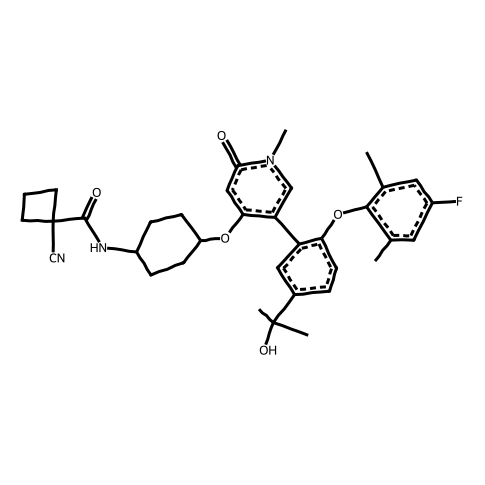 Cc1cc(F)cc(C)c1Oc1ccc(C(C)(C)O)cc1-c1cn(C)c(=O)cc1OC1CCC(NC(=O)C2(C#N)CCC2)CC1